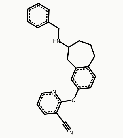 N#Cc1cccnc1Oc1ccc2c(c1)CC(NCc1ccccc1)CCC2